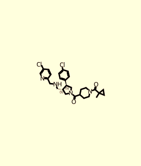 CC1(C(=O)N2CCC(C(=O)N3C[C@H](CNCc4ccc(Cl)cn4)[C@@H](c4ccc(Cl)cc4)C3)CC2)CC1